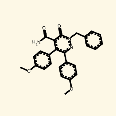 COc1ccc(-c2nn(Cc3ccccc3)c(=O)c(C(N)=O)c2-c2ccc(OC)cc2)cc1